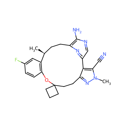 C[C@H]1CCc2nc(cnc2N)-c2c(nn(C)c2C#N)CCC2(CCC2)Oc2ccc(F)cc21